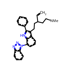 C=CC(CCNC)CCc1c(-c2ccccc2)[nH]c2c(-n3nnc4ccccc43)cccc12